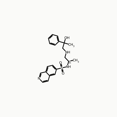 C[C@H](CNCC(C)(O)c1ccccc1)NS(=O)(=O)c1ccc2cnccc2c1